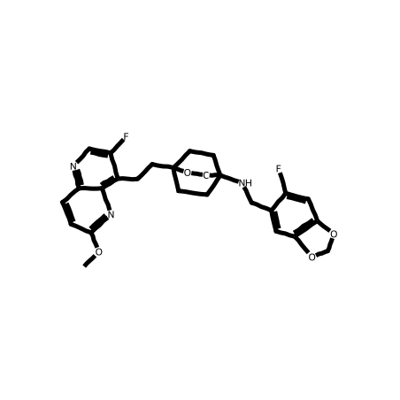 COc1ccc2ncc(F)c(CCC34CCC(NCc5cc6c(cc5F)OCO6)(CC3)CO4)c2n1